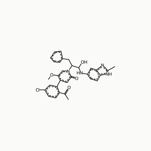 COc1cn(C(Cc2ccccc2)C(O)Nc2ccc3[nH]c(C)nc3c2)c(=O)cc1-c1cc(Cl)ccc1C(C)=O